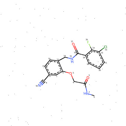 CNC(=O)COc1cc(C#N)ccc1CNC(=O)c1cccc(Cl)c1F